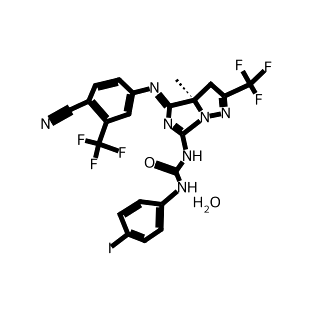 C[C@]12CC(C(F)(F)F)=NN1C(NC(=O)Nc1ccc(I)cc1)=NC2=Nc1ccc(C#N)c(C(F)(F)F)c1.O